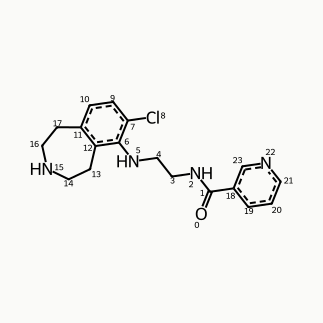 O=C(NCCNc1c(Cl)ccc2c1CCNCC2)c1cccnc1